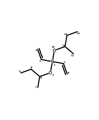 C=C[Si](C=C)(OC(C)CC)OC(C)CC